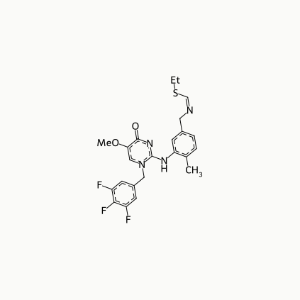 CCS/C=N\Cc1ccc(C)c(Nc2nc(=O)c(OC)cn2Cc2cc(F)c(F)c(F)c2)c1